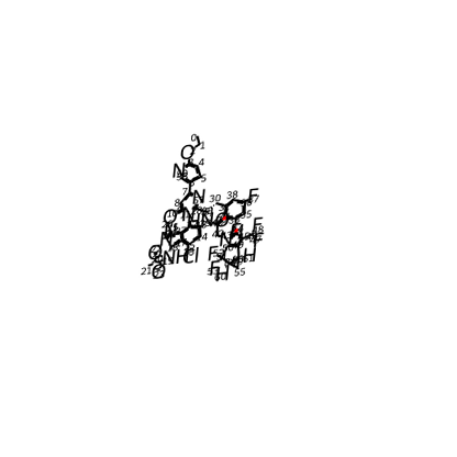 CCOc1ccc(-c2cc(=O)n(-c3ccc(Cl)c4c(NS(C)(=O)=O)nn(C)c34)c([C@H](Cc3cc(F)cc(F)c3)NC(=O)Cn3nc(C(F)F)c4c3C(F)(F)[C@@H]3C[C@H]43)n2)cn1